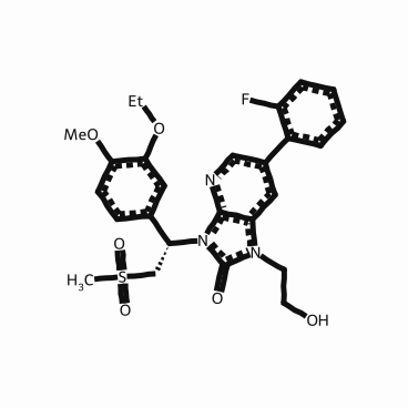 CCOc1cc([C@@H](CS(C)(=O)=O)n2c(=O)n(CCO)c3cc(-c4ccccc4F)cnc32)ccc1OC